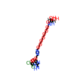 COc1cc(Nc2c(C#N)cnc3cc(OCCCN4CCN(CCOCCOCCOCCOCCOCCOCCOCCNC(=O)[C@H]5C[C@@H]6C[C@H]5[C@@H](O)[C@H]6O)CC4)c(OC)cc23)c(Cl)cc1Cl